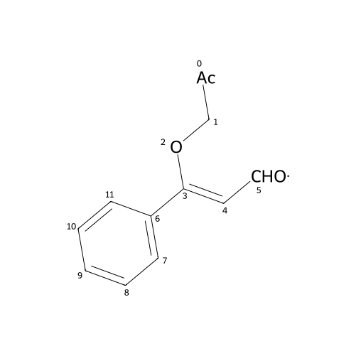 CC(=O)COC(=C[C]=O)c1ccccc1